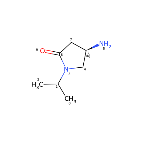 CC(C)N1C[C@H](N)CC1=O